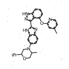 C[C](C)C1CN(c2ccc3nc(-c4n[nH]c5cccc(Oc6cc(C)ccn6)c45)[nH]c3c2)C(C)CO1